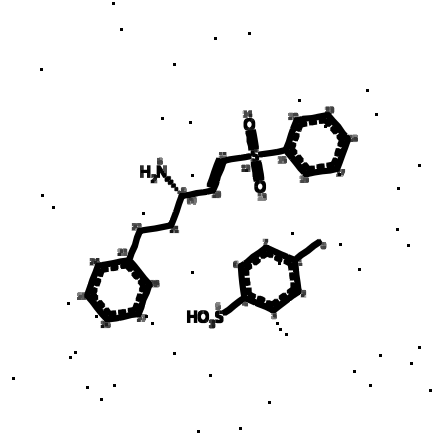 Cc1ccc(S(=O)(=O)O)cc1.N[C@H](C=CS(=O)(=O)c1ccccc1)CCc1ccccc1